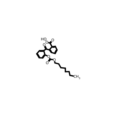 CCCCCCCCOC(=O)Oc1ccccc1C(=O)c1ccccc1C(=O)OO